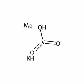 [KH].[Mo].[O]=[V](=[O])[OH]